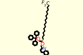 FC(F)(F)CCCCCCCCCCCCCCCCC[C@@H](COC(c1ccccc1)(c1ccccc1)c1ccccc1)OCc1ccc2ccccc2n1